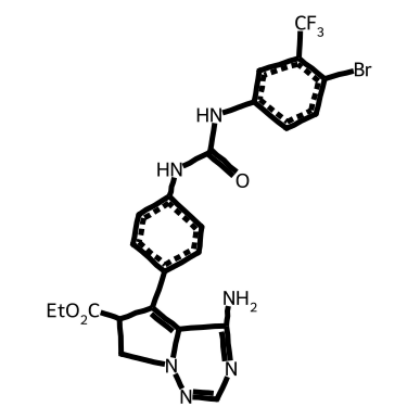 CCOC(=O)C1CN2N=CN=C(N)C2=C1c1ccc(NC(=O)Nc2ccc(Br)c(C(F)(F)F)c2)cc1